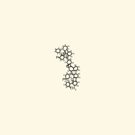 Cc1ccccc1-c1cccc2c1oc1c(N(c3ccc(F)cc3)c3ccc4c(c3)oc3cc(N(c5ccc(F)cc5)c5cccc6c5oc5c(-c7ccccc7C)cccc56)c5ccccc5c34)cccc12